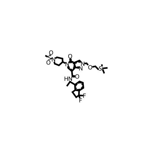 CC(NC(=O)c1cn(C2CCN(S(C)(=O)=O)CC2)c(=O)c2cn(COCC[Si](C)(C)C)nc12)c1cccc2c1CCC2(F)F